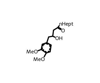 CCCCCCCC(=O)CC(O)Cc1ccc(OC)c(OC)c1